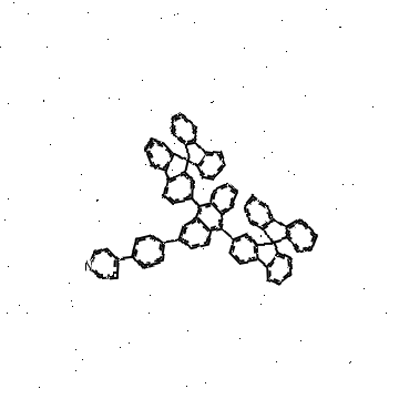 c1ccc2c(c1)-c1ccccc1C21c2ccccc2-c2ccc(-c3c4ccccc4c(-c4ccc5c(c4)C4(c6ccccc6-c6ccccc64)c4ccccc4-5)c4cc(-c5ccc(-c6ccncc6)cc5)ccc34)cc21